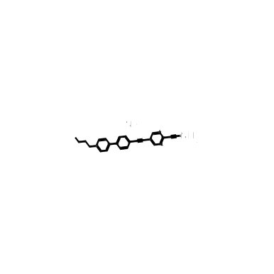 CCCCc1ccc(-c2ccc(C#Cc3cc(F)c(C#CN)c(F)c3)cc2)cc1.[Na]